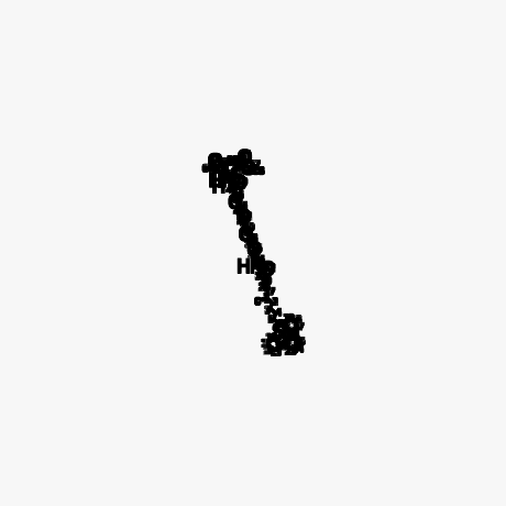 C=C(CCCCCSC(c1ccccc1)(c1ccccc1)c1ccccc1)CCCCC(=O)NCCOCCOCCOCCOCCC(=O)N[C@H]1CC(C(=O)OCC)=CCC1NC(C)=O